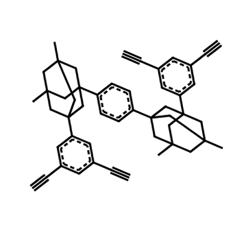 C#Cc1cc(C#C)cc(C23CC4(C)CC(C)(CC(c5ccc(C67CC8(C)CC(C)(C6)CC(c6cc(C#C)cc(C#C)c6)(C8)C7)cc5)(C4)C2)C3)c1